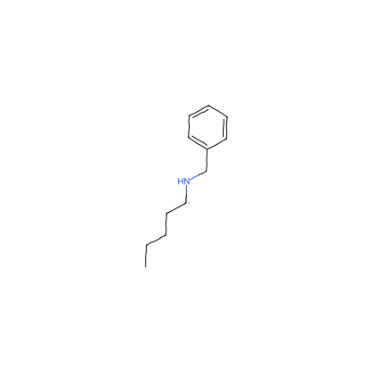 CCCC[CH]NCc1ccccc1